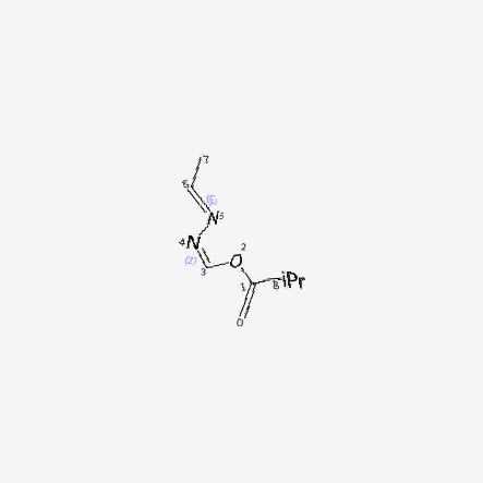 C=C(O/C=N\N=C\C)C(C)C